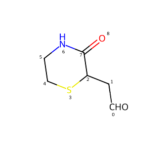 O=CCC1SCCNC1=O